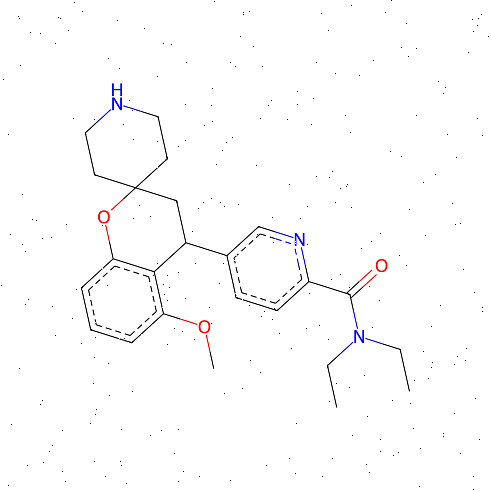 CCN(CC)C(=O)c1ccc(C2CC3(CCNCC3)Oc3cccc(OC)c32)cn1